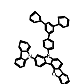 c1ccc(-c2cc(-c3ccccc3)cc(-c3ccc(-n4c5cc(-n6c7ccccc7c7ccccc76)ccc5c5c6oc7ccccc7c6ccc54)cc3)c2)cc1